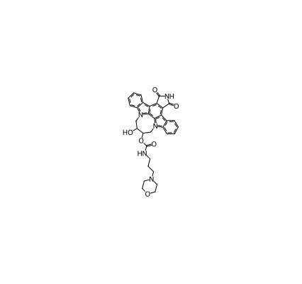 O=C(NCCCN1CCOCC1)OC1Cn2c3ccccc3c3c4c(c5c6ccccc6n(c5c32)CC1O)C(=O)NC4=O